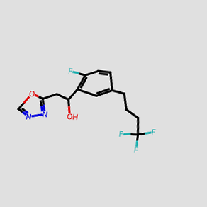 OC(Cc1nnco1)c1cc(CCCC(F)(F)F)ccc1F